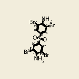 Nc1c(Br)cc(S(=O)(=O)c2cc(Br)c(N)c(Br)c2)cc1Br